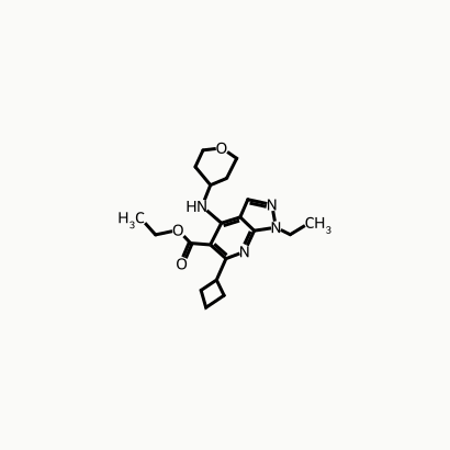 CCOC(=O)c1c(C2CCC2)nc2c(cnn2CC)c1NC1CCOCC1